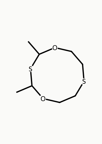 CC1OCCSCCOC(C)S1